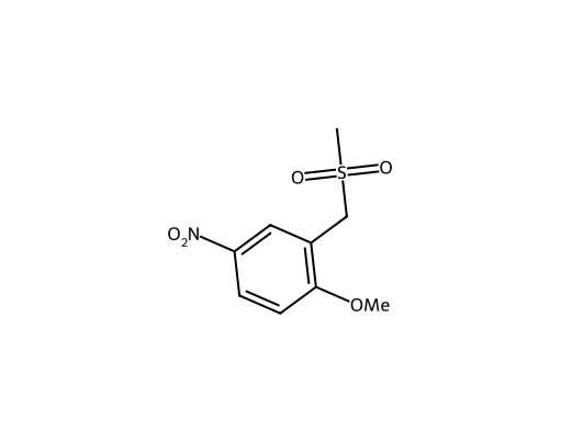 COc1ccc([N+](=O)[O-])cc1CS(C)(=O)=O